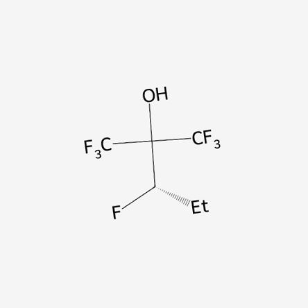 CC[C@H](F)C(O)(C(F)(F)F)C(F)(F)F